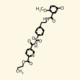 CCCOC(=O)c1ccc(C(=O)NS(=O)(=O)c2ccc(CCNC(=O)c3cc(Cl)ccc3OC)cc2)cn1